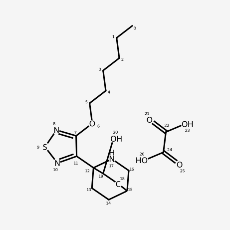 CCCCCCOc1nsnc1C12CCC(CN1)CC2O.O=C(O)C(=O)O